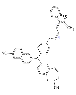 C=c1sc2ccccc2/c1=C/C=C\Cc1ccc(N(c2ccc3c(c2)C=CCC(C#N)=C3)c2ccc3cc(C#N)ccc3c2)cc1